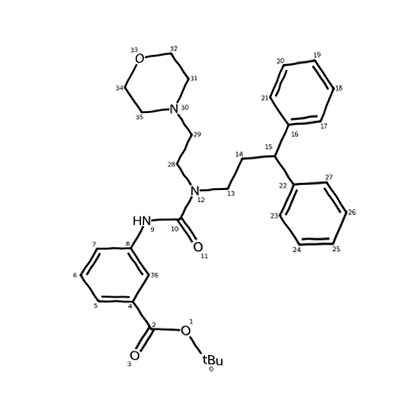 CC(C)(C)OC(=O)c1cccc(NC(=O)N(CCC(c2ccccc2)c2ccccc2)CCN2CCOCC2)c1